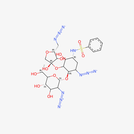 C[C@@H](O)C1O[C@H](O[C@@H]2C(N=[N+]=[N-])C[C@@H](NS(=O)(=O)c3ccccc3)C(O)C2O[C@]2(O)CO[C@H](CN=[N+]=[N-])C2O)C(N=[N+]=[N-])C(O)[C@@H]1O